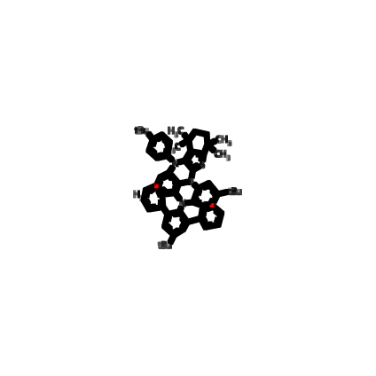 Cc1cc2c3c(c1)N(c1c(-c4ccccc4)cc(C(C)(C)C)cc1-c1ccccc1)c1ccc(C(C)(C)C)cc1B3c1sc3c(c1N2c1ccc(C(C)(C)C)cc1)C(C)(C)CCC3(C)C